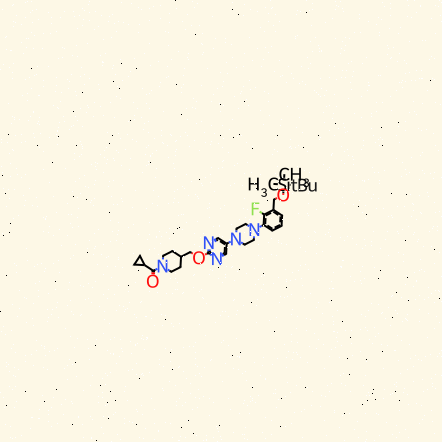 CC(C)(C)[Si](C)(C)OCc1cccc(N2CCN(c3cnc(OCC4CCN(C(=O)C5CC5)CC4)nc3)CC2)c1F